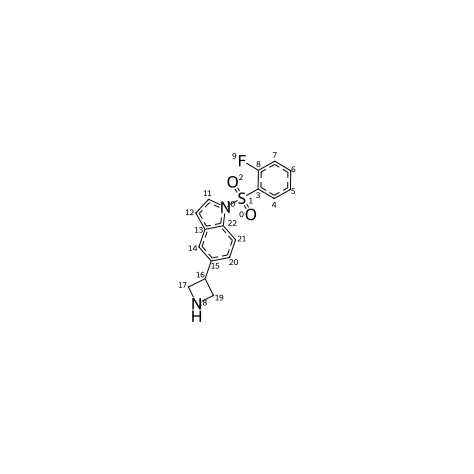 O=S(=O)(c1ccccc1F)n1ccc2cc(C3CNC3)ccc21